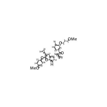 COCCCOc1cc(C(=O)N(C[C@@H]2CNC[C@H]2CN(C(=O)Oc2ccc(OC)cc2)C2CC2)C(C)C)ccc1C